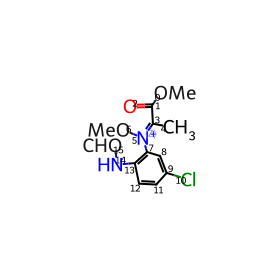 COC(=O)/C(C)=[N+](\OC)c1cc(Cl)ccc1NC=O